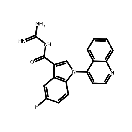 N=C(N)NC(=O)c1cn(-c2ccnc3ccccc23)c2ccc(F)cc12